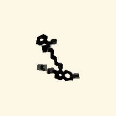 Cl.O=C(NCCCCOc1c(Cl)ccc2c1CCNCC2)c1ccccc1